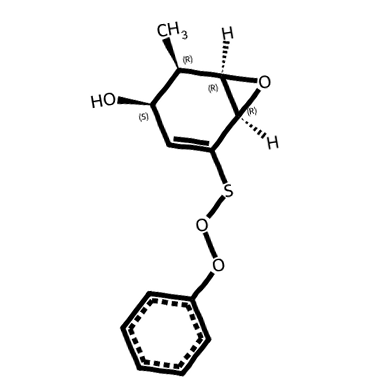 C[C@H]1[C@H]2O[C@H]2C(SOOc2ccccc2)=C[C@H]1O